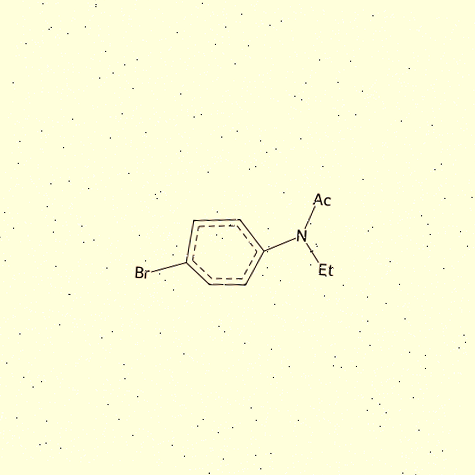 CCN(C(C)=O)c1ccc(Br)cc1